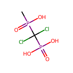 CP(=O)(O)C(Cl)(Cl)P(=O)(O)O